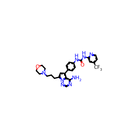 Nc1ncnn2c(CCCN3CCOCC3)cc(-c3ccc(NC(=O)Nc4cc(C(F)(F)F)ccn4)cc3)c12